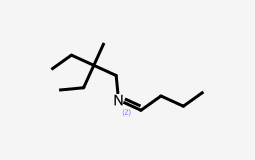 CCC/C=N\CC(C)(CC)CC